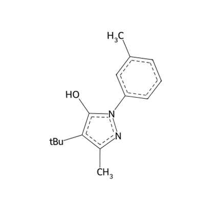 Cc1cccc(-n2nc(C)c(C(C)(C)C)c2O)c1